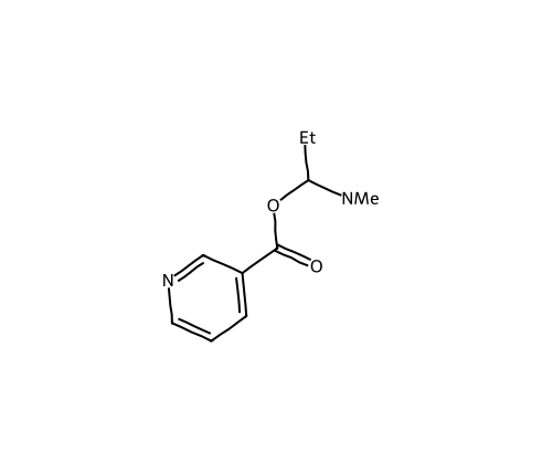 CCC(NC)OC(=O)c1cccnc1